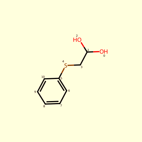 O[C](O)CSc1ccccc1